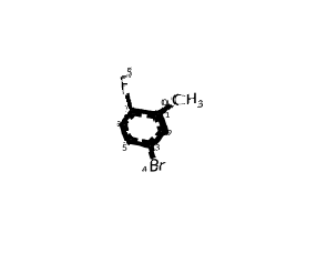 Cc1cc(Br)[c]cc1F